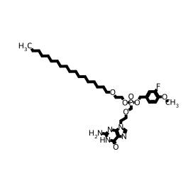 CCCCCCCCCCCCCCCCCCOCCOP(=O)(COCCn1cnc2c(=O)[nH]c(N)nc21)OCc1ccc(OC)c(F)c1